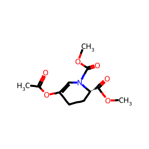 COC(=O)[C@@H]1CCC(OC(C)=O)=CN1C(=O)OC